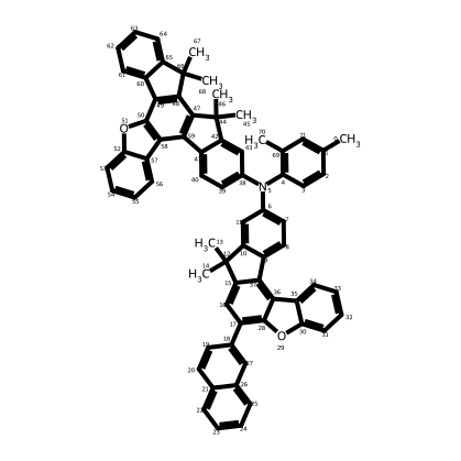 Cc1ccc(N(c2ccc3c(c2)C(C)(C)c2cc(-c4ccc5ccccc5c4)c4oc5ccccc5c4c2-3)c2ccc3c(c2)C(C)(C)c2c4c(c5oc6ccccc6c5c2-3)-c2ccccc2C4(C)C)c(C)c1